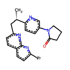 CC(C)c1ccc2ccc(C[C@H](C)c3ccc(N4CCCC4=O)cn3)nc2n1